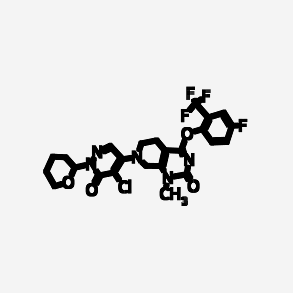 Cn1c2c(c(Oc3ccc(F)cc3C(F)(F)F)nc1=O)CCN(c1cnn(C3CCCCO3)c(=O)c1Cl)C2